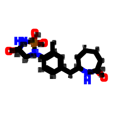 Cc1cc(CC2CCCCC(=O)N2)ccc1N1CC(=O)NS1(=O)=O